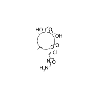 CC[C@H]1C(=O)C(C)(C)[C@@H](O)CC(=O)O[C@H](C(Cl)=Cc2coc(CN)n2)C/C=C(/C)CCC[C@H](C)[C@@H]1O